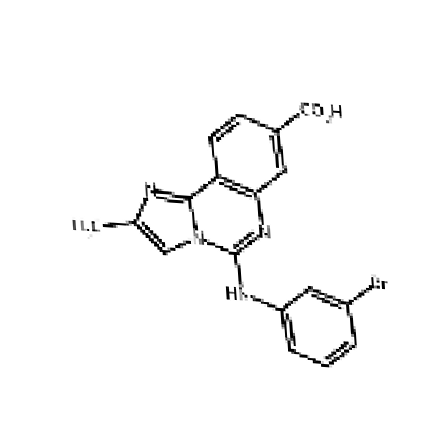 Cc1cn2c(Nc3cccc(Br)c3)nc3cc(C(=O)O)ccc3c2n1